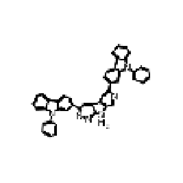 c1ccc(-n2c3ccccc3c3ccc(-c4cc5c(cn4)[SiH2]c4nnc(-c6ccc7c8ccccc8n(-c8ccccc8)c7c6)cc4-5)cc32)cc1